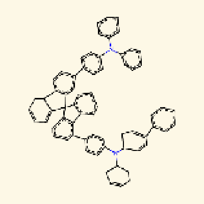 C1=CCC2C(=C1)C1(c3ccccc3-c3c(-c4ccc(N(C5C=CC(c6ccccc6)=CC5)C5CC=CCC5)cc4)cccc31)c1cc(-c3ccc(N(c4ccccc4)c4ccccc4)cc3)ccc12